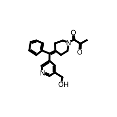 CC(=O)C(=O)N1CCC(=C(c2ccccc2)c2cncc(CO)c2)CC1